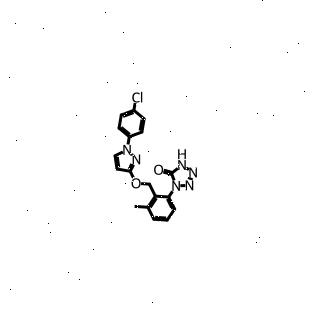 Cc1cccc(-n2nn[nH]c2=O)c1COc1ccn(-c2ccc(Cl)cc2)n1